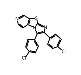 Clc1ccc(-c2nc3sc4cnccc4n3c2-c2ccc(Cl)cc2)cc1